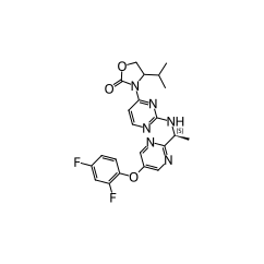 CC(C)C1COC(=O)N1c1ccnc(N[C@@H](C)c2ncc(Oc3ccc(F)cc3F)cn2)n1